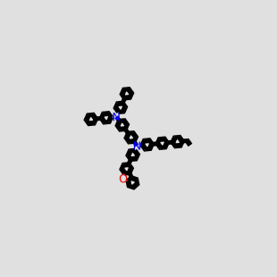 C=Cc1ccc(-c2ccc(-c3ccc(N(c4ccc(-c5ccc(N(c6ccc(-c7ccccc7)cc6)c6ccc(-c7ccccc7)cc6)cc5)cc4)c4ccc(-c5ccc6oc7ccccc7c6c5)cc4)cc3)cc2)cc1